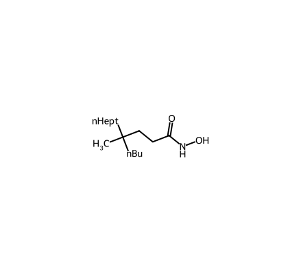 CCCCCCCC(C)(CCCC)CCC(=O)NO